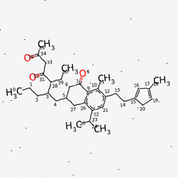 CCCC(CC1CC(=O)c2c(C)c(CCC3=CC(C)=CC3)cc(C(C)C)c2C1)C(CC)C(=O)CC(C)=O